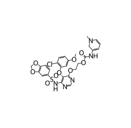 COc1ccc(Cl)c(Oc2c(NS(=O)(=O)c3ccc4c(c3)OCO4)ncnc2OCCOC(=O)NC2=CC=CN(C)C2)c1